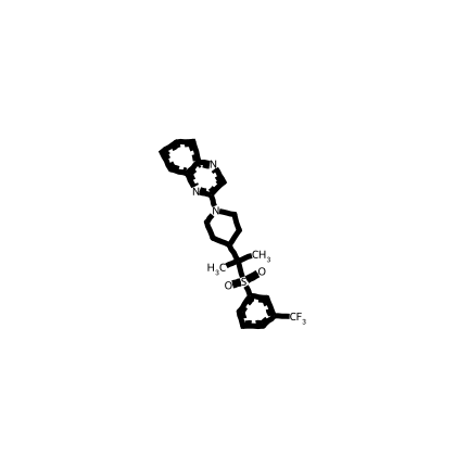 CC(C)(C1CCN(c2cnc3ccccc3n2)CC1)S(=O)(=O)c1cccc(C(F)(F)F)c1